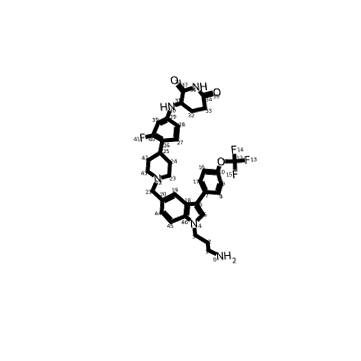 NCCCn1cc(-c2ccc(OC(F)(F)F)cc2)c2cc(CN3CCC(c4ccc(NC5CCC(=O)NC5=O)cc4F)CC3)ccc21